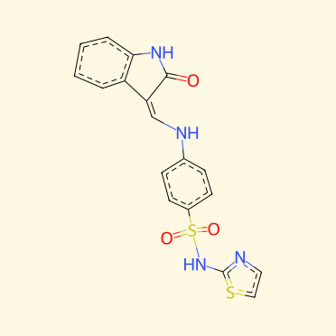 O=C1Nc2ccccc2C1=CNc1ccc(S(=O)(=O)Nc2nccs2)cc1